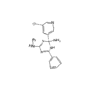 CC(C)NC1=NC(N)(c2cncc(Cl)c2)NC(c2ccccc2)=N1